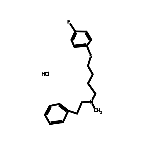 CN(CCCCSc1ccc(F)cc1)CCc1ccccc1.Cl